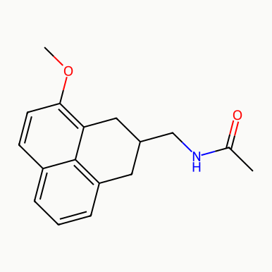 COc1ccc2cccc3c2c1CC(CNC(C)=O)C3